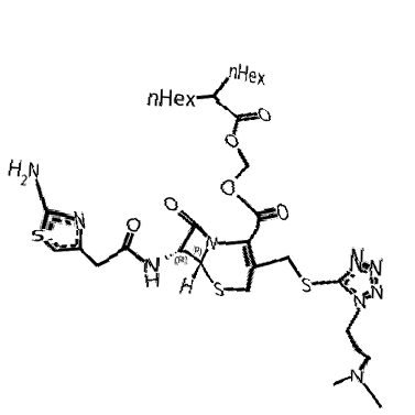 CCCCCCC(CCCCCC)C(=O)OCOC(=O)C1=C(CSc2nnnn2CCN(C)C)CS[C@@H]2[C@H](NC(=O)Cc3csc(N)n3)C(=O)N12